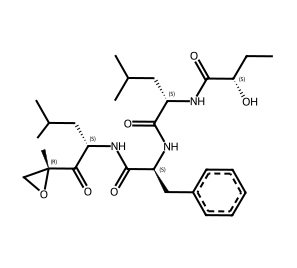 CC[C@H](O)C(=O)N[C@@H](CC(C)C)C(=O)N[C@@H](Cc1ccccc1)C(=O)N[C@@H](CC(C)C)C(=O)[C@@]1(C)CO1